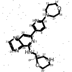 C[C@]1(CNc2nc(-c3ccc(N4CCCOCC4)nc3)cc3nccnc23)CNCCO1